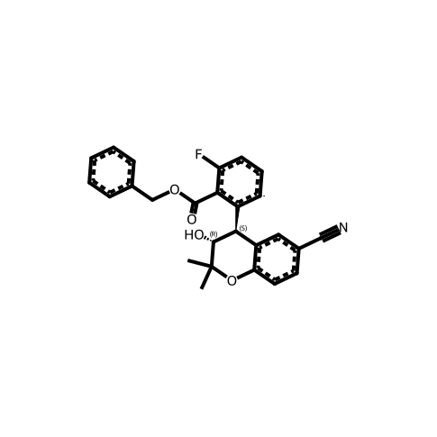 CC1(C)Oc2ccc(C#N)cc2[C@H](c2[c]ccc(F)c2C(=O)OCc2ccccc2)[C@H]1O